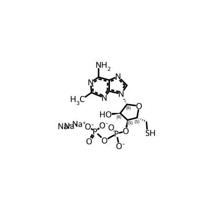 Cc1nc(N)c2ncn([C@@H]3O[C@H](CS)[C@@H](OP(=O)([O-])OP(=O)([O-])[O-])[C@H]3O)c2n1.[Na+].[Na+].[Na+]